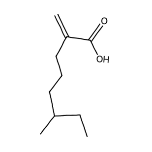 C=C(CCCC(C)CC)C(=O)O